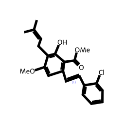 COC(=O)c1c(/C=C/c2ccccc2Cl)cc(OC)c(CC=C(C)C)c1O